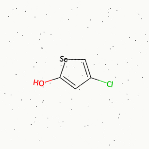 Oc1cc(Cl)c[se]1